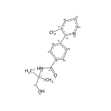 CC(C)(CO)NC(=O)c1ccc(-c2ncccc2Cl)cc1